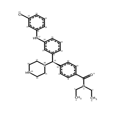 CCN(CC)C(=O)c1ccc([C@H](c2cccc(Nc3cccc(Cl)c3)c2)N2CCNCC2)cc1